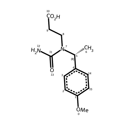 COc1ccc([C@@H](C)N(CCC(=O)O)C(N)=O)cc1